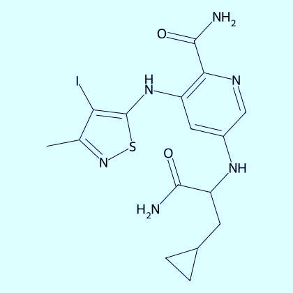 Cc1nsc(Nc2cc(NC(CC3CC3)C(N)=O)cnc2C(N)=O)c1I